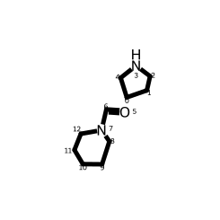 C1CCNC1.O=CN1CCCCC1